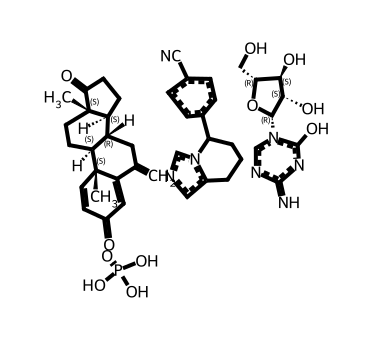 C=C1C[C@@H]2[C@H](CC[C@]3(C)C(=O)CC[C@@H]23)[C@@]2(C)C=CC(=O)C=C12.N#Cc1ccc(C2CCCc3cncn32)cc1.N=c1ncn([C@@H]2O[C@H](CO)[C@@H](O)[C@@H]2O)c(O)n1.O=P(O)(O)O